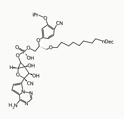 CCCCCCCCCCCCCCCCCCOC[C@H](COP(=O)(O)OC1[C@H]2O[C@@](C#N)(c3ccc4c(N)ncnn34)[C@H](O)[C@@]12O)Oc1ccc(C#N)c(OC(C)C)c1